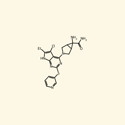 CCc1[nH]c2nc(Sc3cccnc3)nc(N3CC4C(C3)C4(N)C(N)=O)c2c1Cl